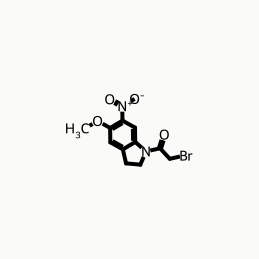 COc1cc2c(cc1[N+](=O)[O-])N(C(=O)CBr)CC2